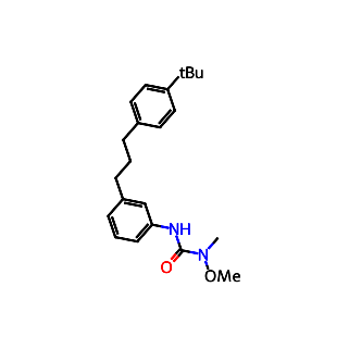 CON(C)C(=O)Nc1cccc(CCCc2ccc(C(C)(C)C)cc2)c1